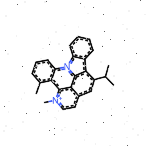 Cc1cccc2c1c1c3c(cc[n+]1C)cc(C(C)C)c1c4ccccc4n2c13